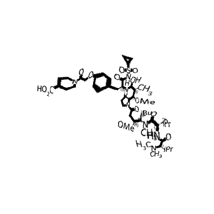 CC[C@H](C)[C@@H]([C@@H](CC(=O)N1CCC[C@H]1[C@H](OC)[C@@H](C)C(O)N[C@@H](Cc1ccc(OCC(=O)N2CCC(C(=O)O)CC2)cc1)C(=O)NS(=O)(=O)C1CC1)OC)N(C)C(=O)[C@@H](NC(=O)[C@H](C(C)C)N(C)C)C(C)C